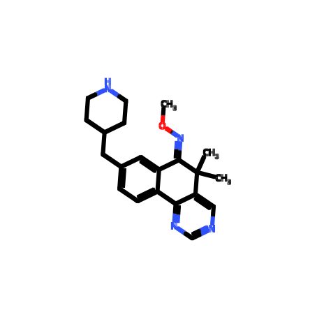 CO/N=C1\c2cc(CC3CCNCC3)ccc2-c2ncncc2C1(C)C